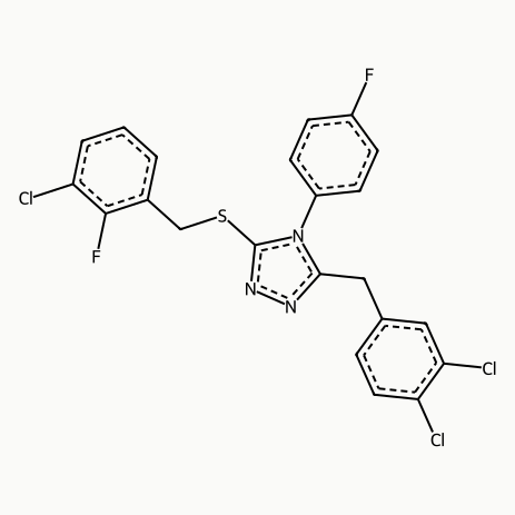 Fc1ccc(-n2c(Cc3ccc(Cl)c(Cl)c3)nnc2SCc2cccc(Cl)c2F)cc1